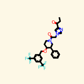 CCC(=O)c1cn(CC(=O)N2CCC(OCc3cc(C(F)(F)F)cc(C(F)(F)F)c3)C(c3ccccc3)C2)cn1